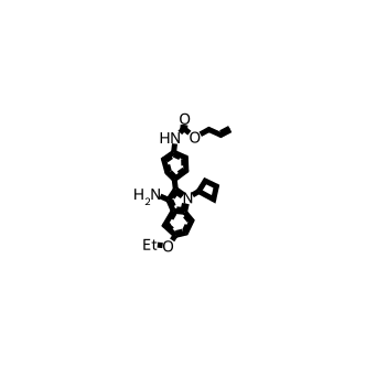 C=CCOC(=O)Nc1ccc(-c2c(N)c3cc(OCC)ccc3n2C2CCC2)cc1